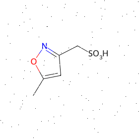 Cc1cc(CS(=O)(=O)O)no1